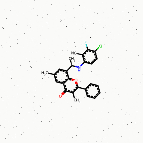 Cc1cc([C@@H](C)Nc2ccc(Cl)c(F)c2C#N)c2oc(-c3ccccc3)c(C)c(=O)c2c1